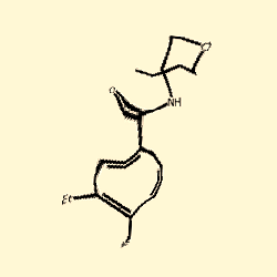 CCc1cc(C(=O)NC2(C)COC2)ccc1F